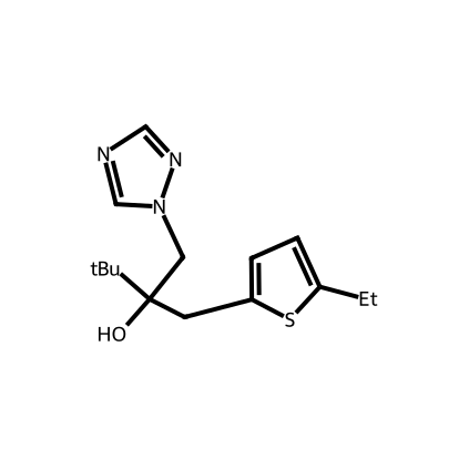 CCc1ccc(CC(O)(Cn2cncn2)C(C)(C)C)s1